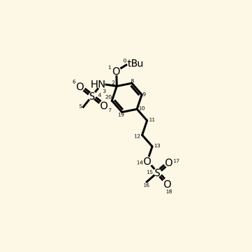 CC(C)(C)OC1(NS(C)(=O)=O)C=CC(CCCOS(C)(=O)=O)C=C1